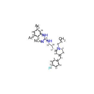 C=CCN1CC[C@@H](Cc2ccc(F)cc2)C[C@@H]1CCCNC(=NC#N)Nc1cc(C(C)=O)cc(C(C)=O)c1